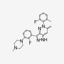 C=C1C=c2[nH]nc(-c3cccc(N4CCN(C)CC4)c3F)c2=NN1c1c(C)cccc1F